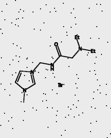 CCN(CC)CC(=O)NC[n+]1ccn(C)c1.[Br-]